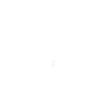 C=C1Nc2c(F)cccc2[C@H]1C(C)C